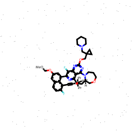 COCOc1cc(-c2nc3c4c(nc(OCC5(CN6CCCCC6)CC5)nc4c2F)N2CCCOC[C@@H]2CC3)c2c(C#C[Si](C(C)C)(C(C)C)C(C)C)c(F)ccc2c1